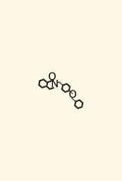 O=c1c2ccccc2ccn1Cc1ccc(OCc2ccccc2)cc1